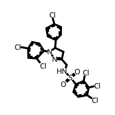 O=S(=O)(NCC1=NN(c2ccc(Cl)cc2Cl)C(c2ccc(Cl)cc2)C1)c1ccc(Cl)c(Cl)c1Cl